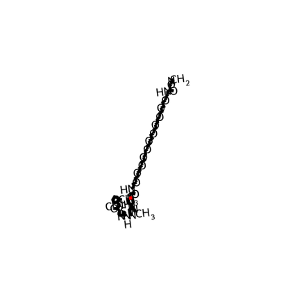 C=NOCC(=O)NCCOCCOCCOCCOCCOCCOCCOCCOCCOCCOCCOCCNC(=O)CN1CCN(c2cc(Nc3ncc(C(=O)Nc4c(C)cccc4Cl)s3)nc(C)n2)CC1